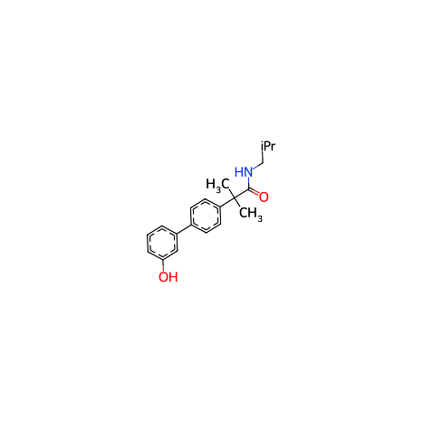 CC(C)CNC(=O)C(C)(C)c1ccc(-c2cccc(O)c2)cc1